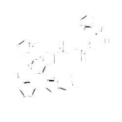 CCC(O)(CC(C)NCCN[C@H]1CC2=C(C3=N/C(=C\C(C)F)C=C3)[C@H](c3ccc(F)cc3Cl)N=C(C3SC=CN3C)N2C1)c1nccs1